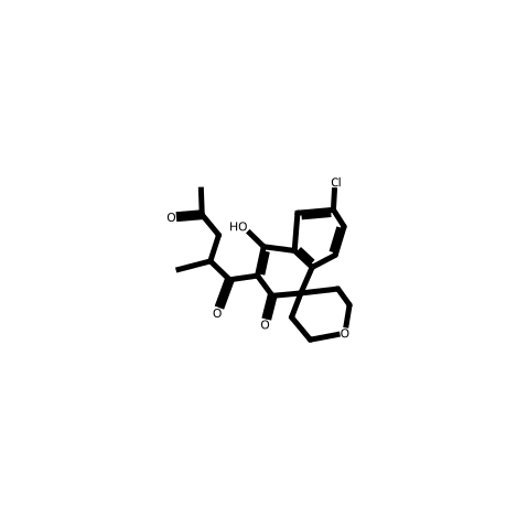 CC(=O)CC(C)C(=O)C1=C(O)c2cc(Cl)ccc2C2(CCOCC2)C1=O